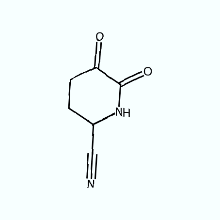 N#CC1CCC(=O)C(=O)N1